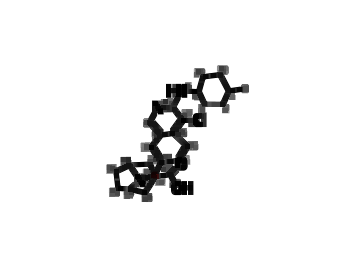 CC1CCC(Nc2ncc3cc(CN4C5CCC4CC(C(=O)O)C5)ccc3c2Cl)CC1